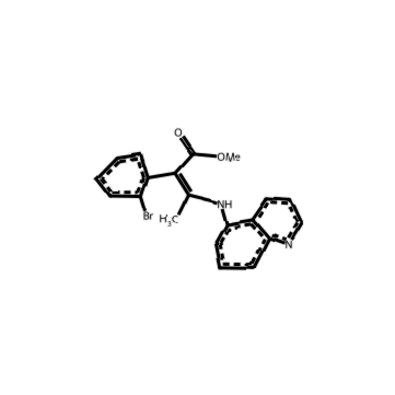 COC(=O)/C(=C(/C)Nc1cccc2ncccc12)c1ccccc1Br